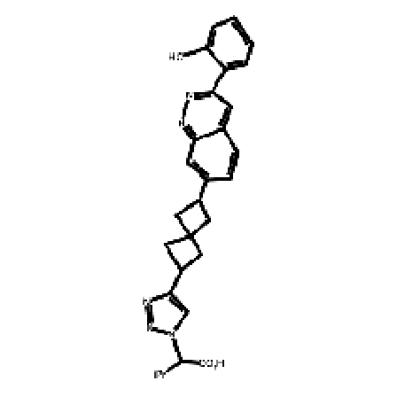 CC(C)C(C(=O)O)n1cc(C2CC3(CC(c4ccc5cc(-c6ccccc6O)nnc5c4)C3)C2)nn1